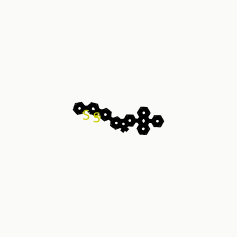 CC1(C)c2ccc(-c3ccc4c(c3)sc3c4ccc4c5ccccc5sc43)cc2-c2ccc(-c3c4ccccc4c(-c4ccccc4)c4ccccc34)cc21